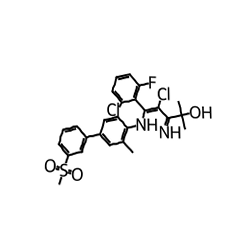 Cc1cc(-c2cccc(S(C)(=O)=O)c2)ccc1N/C(=C(/Cl)C(=N)C(C)(C)O)c1c(F)cccc1Cl